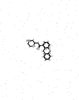 O=C(CC1CNCCO1)c1cccc2c1Cc1ccccc1S2